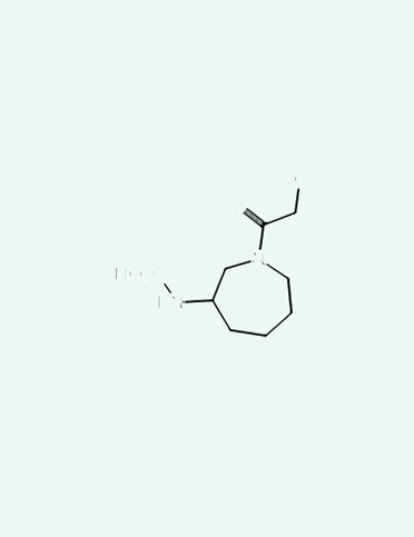 O=C(O)NC1CCCCN(C(=O)CCl)C1